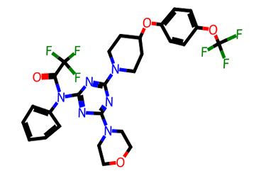 O=C(N(c1ccccc1)c1nc(N2CCOCC2)nc(N2CCC(Oc3ccc(OC(F)(F)F)cc3)CC2)n1)C(F)(F)F